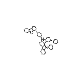 c1ccc(-c2ccc3c(c2)c2c(ccc4c5ccccc5n(-c5ccccc5)c42)n3-c2ccc(-c3cccc4c3oc3ccccc34)cc2)cc1